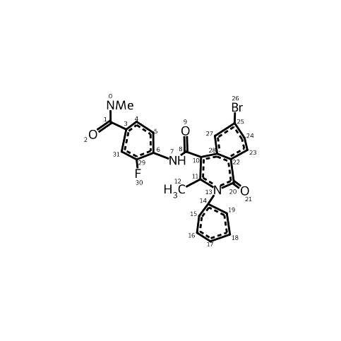 CNC(=O)c1ccc(NC(=O)c2c(C)n(-c3ccccc3)c(=O)c3ccc(Br)cc23)c(F)c1